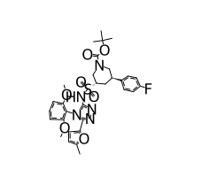 COc1cccc(OC)c1-n1c(NS(=O)(=O)[C@H]2C[C@H](c3ccc(F)cc3)CN(C(=O)OC(C)(C)C)C2)nnc1-c1ccc(C)o1